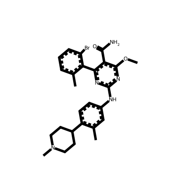 COc1nc(Nc2ccc(C3CCN(C)CC3)c(C)c2)nc(-c2c(C)cccc2Br)c1C(N)=O